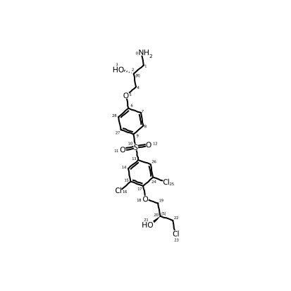 NC[C@@H](O)COc1ccc(S(=O)(=O)c2cc(Cl)c(OC[C@H](O)CCl)c(Cl)c2)cc1